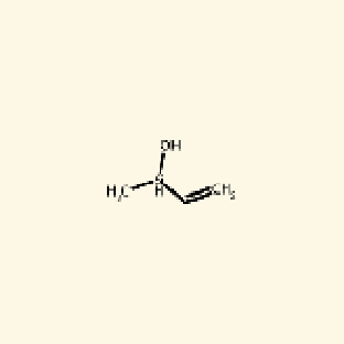 C=C[SiH](C)O